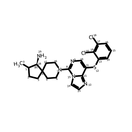 CC1CCC2(CCN(c3ncc(Sc4cccc(Cl)c4Cl)c4nccn34)CC2)[C@@H]1N